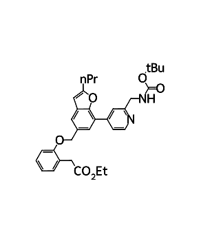 CCCc1cc2cc(COc3ccccc3CC(=O)OCC)cc(-c3ccnc(CNC(=O)OC(C)(C)C)c3)c2o1